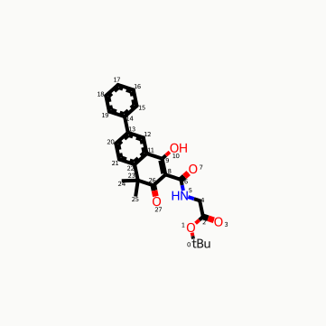 CC(C)(C)OC(=O)CNC(=O)C1=C(O)c2cc(-c3ccccc3)ccc2C(C)(C)C1=O